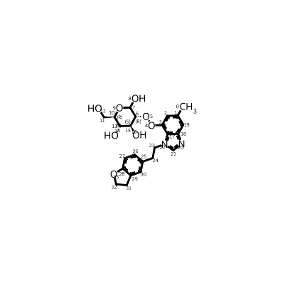 Cc1cc(OO[C@H]2C(O)O[C@H](CO)[C@@H](O)[C@@H]2O)c2c(c1)ncn2CCc1ccc2c(c1)CCO2